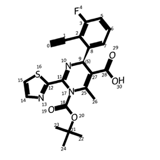 C#Cc1c(F)cccc1[C@@H]1N=C(c2nccs2)N(C(=O)OC(C)(C)C)C(C)=C1C(=O)O